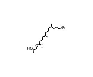 C/C(=C\CCC(=O)OCC(C)O)CCCC(C)CCCC(C)C